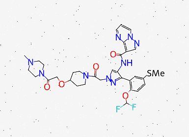 CSc1ccc(OC(F)F)c(-c2nn(CC(=O)N3CCC(OCC(=O)N4CCN(C)CC4)CC3)cc2NC(=O)c2cnn3cccnc23)c1